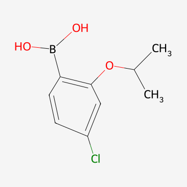 CC(C)Oc1cc(Cl)ccc1B(O)O